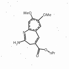 CCCOC(=O)C1=Cc2cc(OC)c(OC)cc2N=C(N)C1